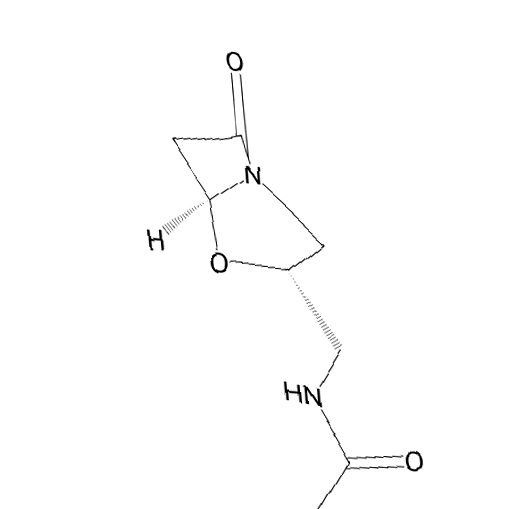 CC(=O)NC[C@H]1CN2C(=O)C[C@@H]2O1